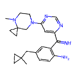 CN1CCN(c2cc(C(=N)c3cc(CC4(C)CC4)ccc3N)ncn2)CC12CC2